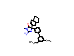 COc1cc(CS(=O)(=O)O)cc(-c2cccc(C3(c4ccc5c(c4)CCCC5)N=C(N)N(C)C3=O)c2)c1